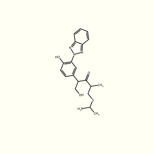 CC(N)SCC(C)C(=O)C(CO)c1ccc(O)c(-n2nc3ccccc3n2)c1